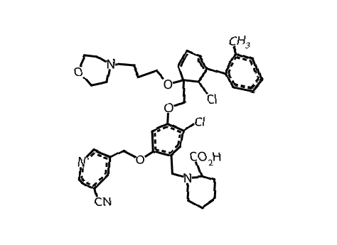 Cc1ccccc1C1=CC=CC(COc2cc(OCc3cncc(C#N)c3)c(CN3CCCCC3C(=O)O)cc2Cl)(OCCCN2CCOCC2)C1Cl